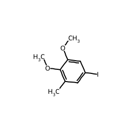 COc1cc(I)cc(C)c1OC